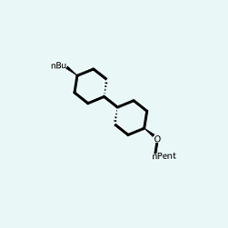 CCCCCO[C@H]1CC[C@H]([C@H]2CC[C@H](CCCC)CC2)CC1